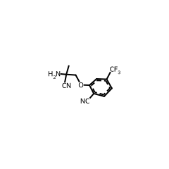 CC(N)(C#N)COc1cc(C(F)(F)F)ccc1C#N